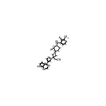 N#CCC1(n2cc(-c3ncnc4[nH]ccc34)cn2)CN([C@@H]2CCN(C(=O)c3ccnc(C(F)(F)F)c3F)CC2F)C1